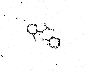 O=C(O)C(Nc1ccccc1)c1ccccc1F